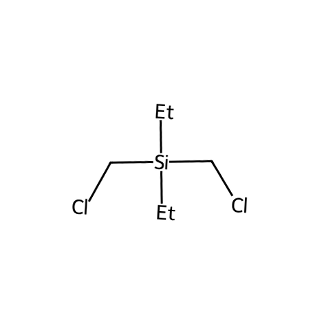 CC[Si](CC)(CCl)CCl